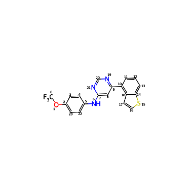 FC(F)(F)Oc1ccc(Nc2cc(-c3cccc4sccc34)ncn2)cc1